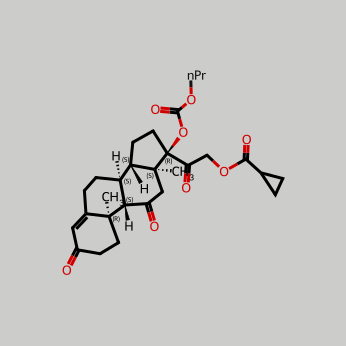 CCCOC(=O)O[C@]1(C(=O)COC(=O)C2CC2)CC[C@H]2[C@@H]3CCC4=CC(=O)CC[C@]4(C)[C@H]3C(=O)C[C@@]21C